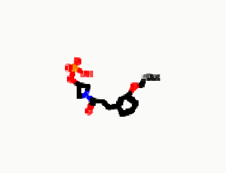 CCCCCCCCCCCOc1cccc(CCC(=O)N2CC(OP(=O)(O)O)C2)c1